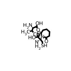 CC(C)[C@H](N)C(=O)O.N[C@](CS)(C(=O)O)N1C(=O)CCCCC1=O